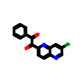 O=C(C(=O)c1ccc2ncc(Br)cc2n1)c1ccccc1